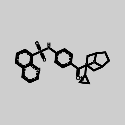 C=C(c1ccc(NS(=O)(=O)c2cccc3cccnc23)cc1)N1CC2CCC(C1)N2CC1CC1